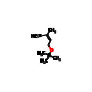 C#C/C(C)=C\CO[Si](C)(C)C